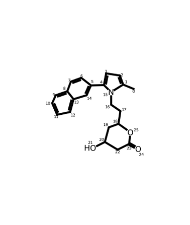 Cc1ccc(-c2ccc3ccccc3c2)n1CCC1CC(O)CC(=O)O1